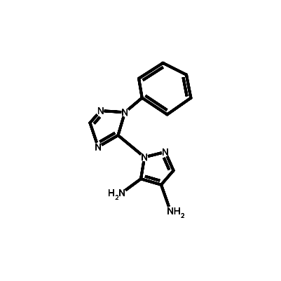 Nc1cnn(-c2ncnn2-c2ccccc2)c1N